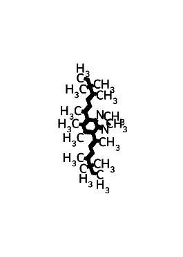 CCC(C)(C)/C(C)=C/C=C(\C)C1=C(C)C(C)=C(/C(C)=C/C=C(\C)C(C)(C)CC)C(=N/C)/C1=N\C